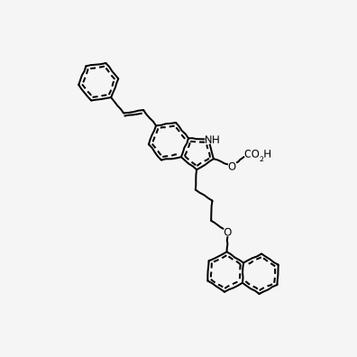 O=C(O)Oc1[nH]c2cc(/C=C/c3ccccc3)ccc2c1CCCOc1cccc2ccccc12